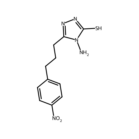 Nn1c(S)nnc1CCCc1ccc([N+](=O)[O-])cc1